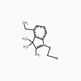 CCc1cccc2c1C(C)(C)C(C)=[N+]2CCBr